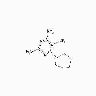 Nc1nc(N)c(C(F)(F)F)c(C2CCCCC2)n1